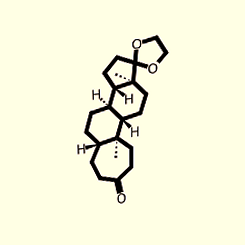 C[C@]12CCC(=O)CC[C@@H]1CC[C@@H]1[C@@H]2CC[C@@]2(C)[C@H]1CCC21OCCO1